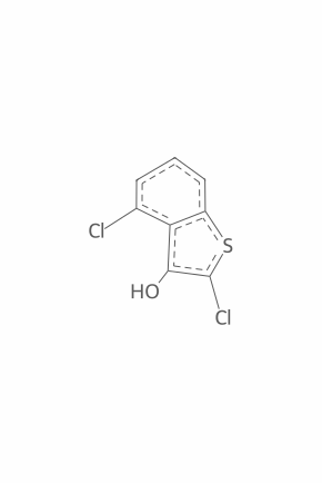 Oc1c(Cl)sc2cccc(Cl)c12